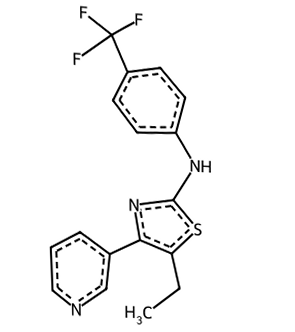 CCc1sc(Nc2ccc(C(F)(F)F)cc2)nc1-c1cccnc1